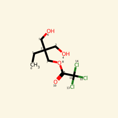 CCC(CO)(CO)COC(=O)C(Cl)(Cl)Cl